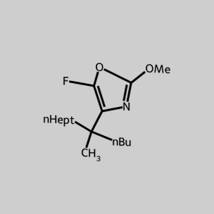 CCCCCCCC(C)(CCCC)c1nc(OC)oc1F